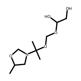 CC1CN(C(C)(C)OCOC(O)CO)CO1